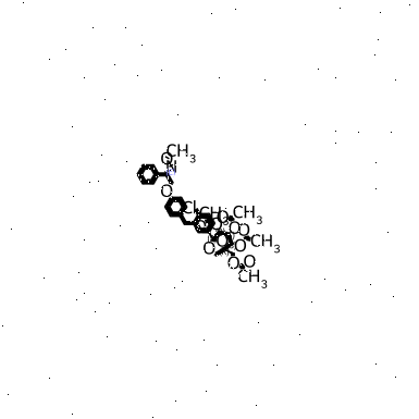 CO/N=C(/COc1ccc(Cc2cc([C@]34OC[C@](COC(C)=O)(O3)[C@@H](OC(C)=O)[C@H](OC(C)=O)[C@H]4OC(C)=O)ccc2Cl)cc1)c1ccccc1